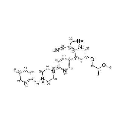 COC(C)COc1cc(-c2ccc(N3CCN(Cc4ccc(C)cn4)CC3)nc2)c2c(C#N)cnn2c1